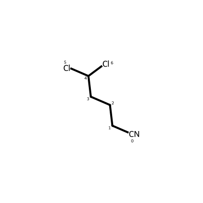 N#CCCCC(Cl)Cl